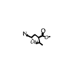 COC(=O)C(C[C@H](O)C#N)C(C)C